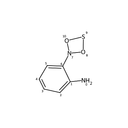 Nc1ccccc1N1OSO1